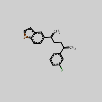 C=C(CCC(=C)c1ccc2sccc2c1)c1cccc(F)c1